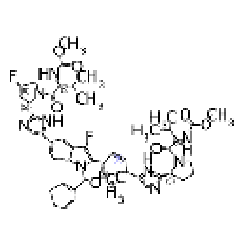 C=C(/C=C\C1=C(C)OC(C2=CCCC=C2)N2C1=C(F)C1=CC(c3cnc([C@@H]4C[C@@H](F)CN4C(=O)[C@@H](NC(=O)OC)C(C)C)[nH]3)=CCC12)c1cnc([C@@H]2CCCN2C(=O)[C@@H](NC(=O)OC)C(C)C)[nH]1